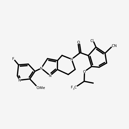 COc1ncc(F)cc1-n1cc2c(n1)CCN(C(=O)c1c(OC(C)C(F)(F)F)ccc(C#N)c1Cl)C2